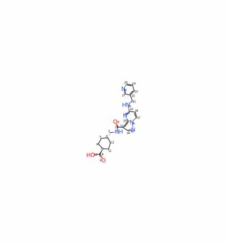 O=C(NC[C@H]1CC[C@H](C(=O)O)CC1)c1cnn2ccc(NCc3cccnc3)nc12